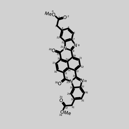 COC(=O)Cc1ccc2nc3c4ccc5c6c(ccc(c(=O)n3c2c1)c46)c(=O)n1c2cc(CC(=O)OC)ccc2nc51